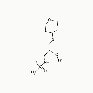 CC(C)O[C@@H](CNS(C)(=O)=O)COC1CCOCC1